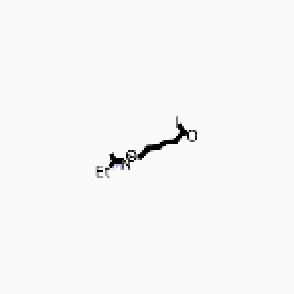 CC/C(C)=N/OCCCCCC(=O)I